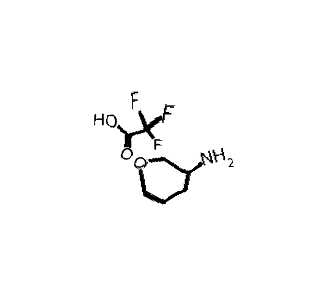 NC1CCCOC1.O=C(O)C(F)(F)F